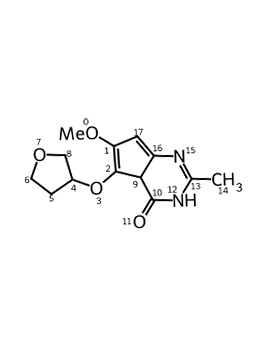 COC1=C(OC2CCOC2)C2C(=O)NC(C)=NC2=C1